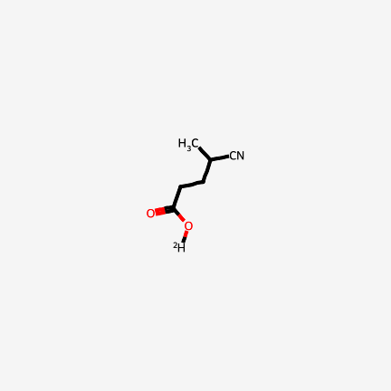 [2H]OC(=O)CCC(C)C#N